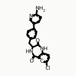 Nc1ccc(-c2ccc(CC3NC(=O)c4cc(Cl)ccc4NC3=O)cc2)cn1